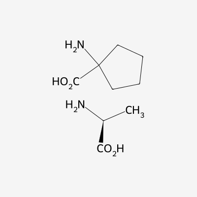 C[C@H](N)C(=O)O.NC1(C(=O)O)CCCC1